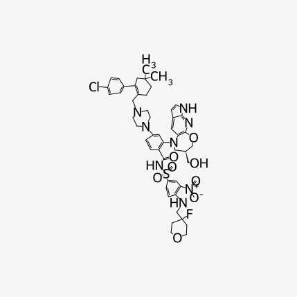 CC1(C)CCC(CN2CCN(c3ccc(C(=O)NS(=O)(=O)c4ccc(NCC5(F)CCOCC5)c([N+](=O)[O-])c4)c(N4C[C@H](CO)COc5nc6[nH]ccc6cc54)c3)CC2)=C(c2ccc(Cl)cc2)C1